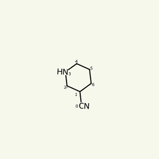 N#CC1[CH]NCCC1